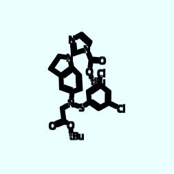 CC(C)(C)OC(=O)CN(Sc1cc(Cl)cc(Cl)c1)c1ccc2c(c1)CCN2c1nccn1C(=O)OC(C)(C)C